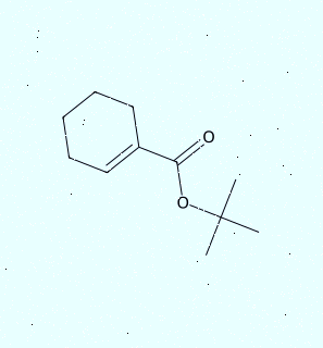 CC(C)(C)OC(=O)C1=CCCCC1